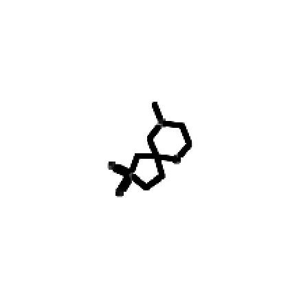 CN1CCOC2(CCS(=O)(=O)C2)C1